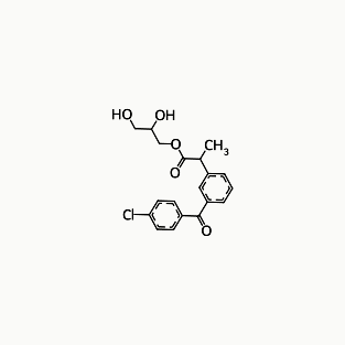 CC(C(=O)OCC(O)CO)c1cccc(C(=O)c2ccc(Cl)cc2)c1